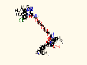 CC1=C(C)C2=C(C1)n1c(C)nnc1C(CC(=O)NCCOCCOCCOCCOCCOCC(=O)NC(C(=O)N1C[C@H](O)C[C@H]1C(=O)CCc1ccc(C3=C(C)N=CC3)cc1)C(C)(C)C)N=C2c1ccc(Cl)cc1